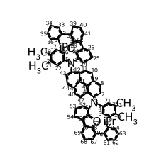 Cc1ccc(N(c2ccc3ccc4c(N(c5ccc(C)c(C)c5)c5cccc6c5oc5c(-c7ccccc7C(C)C)cccc56)ccc5ccc2c3c54)c2cccc3c2oc2c(-c4ccccc4C(C)C)cccc23)cc1C